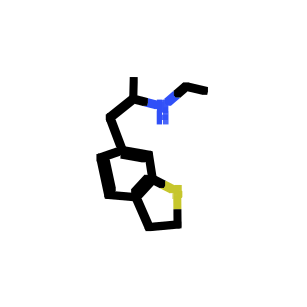 CCNC(C)Cc1ccc2c(c1)SCC2